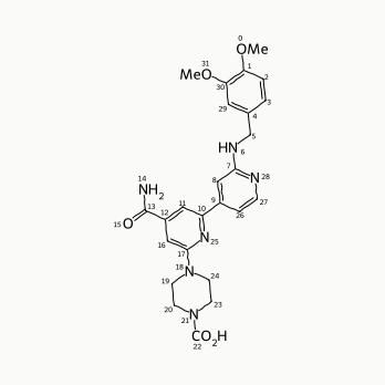 COc1ccc(CNc2cc(-c3cc(C(N)=O)cc(N4CCN(C(=O)O)CC4)n3)ccn2)cc1OC